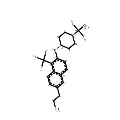 CCCc1ccc2c(C(F)(F)F)c(O[C@H]3CC[C@H](C(C)(F)F)CC3)ccc2c1